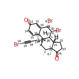 C[C@]12CC[C@H]3[C@@H]([C@H](Br)[C@@H](Br)C4=CC(=O)C=C[C@@]43CC#CBr)[C@@H]1CCC2=O